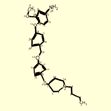 CCCCN1CCC(Oc2ccc(OCc3ccc(Oc4ccc(N)cc4OC)cc3)cc2)CC1